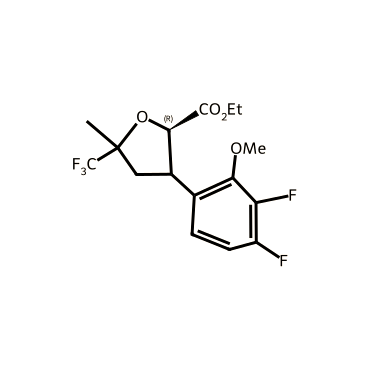 CCOC(=O)[C@@H]1OC(C)(C(F)(F)F)CC1c1ccc(F)c(F)c1OC